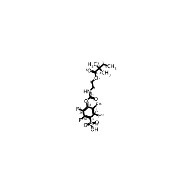 CCC(C)(C)C(=O)OCCNC(=O)Oc1c(F)c(F)c(S(=O)(=O)O)c(F)c1F